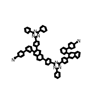 N#Cc1ccc(-c2cccc(-c3cc4ccc(-c5ccc(-c6nc(-c7ccccc7)nc(-c7ccc(-c8cc9ccccc9cc8-c8ccccc8-c8ccc(C#N)cc8)cc7)n6)cc5)cc4cc3-c3ccc(-c4nc(-c5ccccc5)nc(-c5ccccc5)n4)cc3)c2)cc1